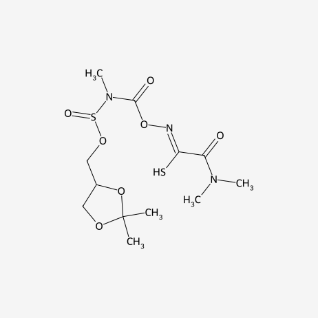 CN(C)C(=O)C(S)=NOC(=O)N(C)S(=O)OCC1COC(C)(C)O1